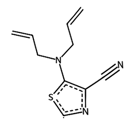 C=CCN(CC=C)c1s[c]nc1C#N